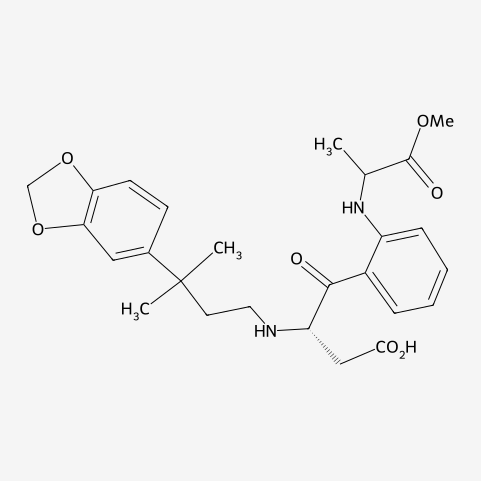 COC(=O)C(C)Nc1ccccc1C(=O)[C@H](CC(=O)O)NCCC(C)(C)c1ccc2c(c1)OCO2